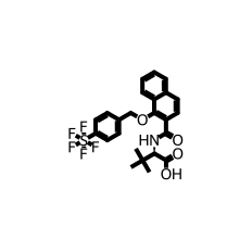 CC(C)(C)[C@H](NC(=O)c1ccc2ccccc2c1OCc1ccc(S(F)(F)(F)(F)F)cc1)C(=O)O